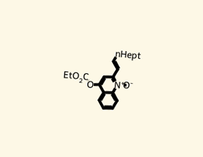 CCCCCCC/C=C/c1cc(OC(=O)OCC)c2ccccc2[n+]1[O-]